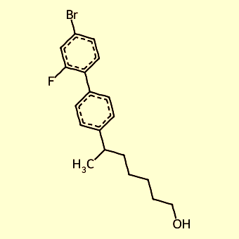 CC(CCCCCO)c1ccc(-c2ccc(Br)cc2F)cc1